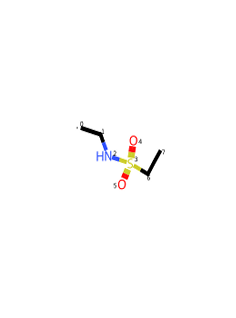 [CH2]CNS(=O)(=O)CC